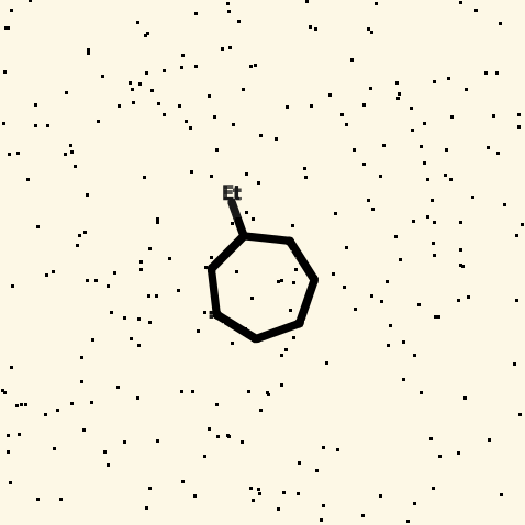 CCC1C[C]CCCC1